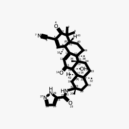 CC1(C)C(=O)C(C#N)=C[C@]2(C)C3=CC(=O)[C@]4(O)[C@@H]5C[C@@](C)(NC(=O)c6ccn[nH]6)CC[C@]5(C)CC[C@@]4(C)[C@]3(C)CC[C@@H]12